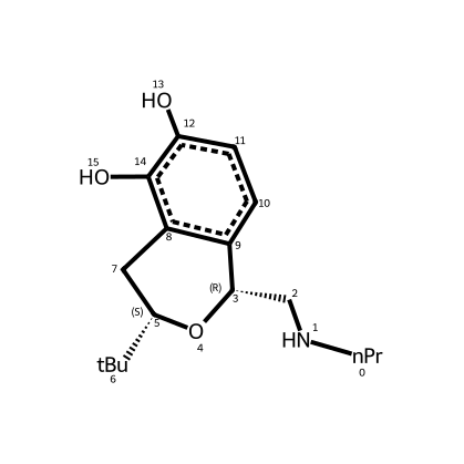 CCCNC[C@@H]1O[C@H](C(C)(C)C)Cc2c1ccc(O)c2O